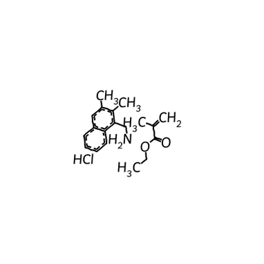 C=C(C)C(=O)OCC.Cc1cc2ccccc2c(CN)c1C.Cl